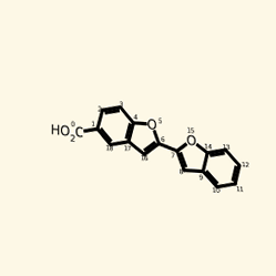 O=C(O)c1ccc2oc(-c3cc4ccccc4o3)cc2c1